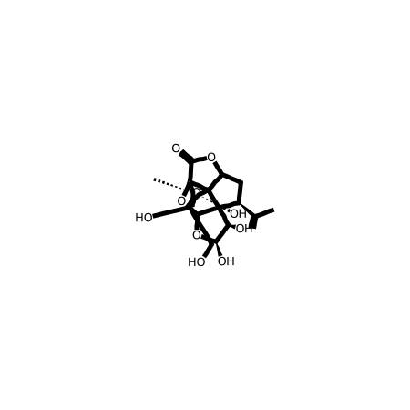 C=C(C)[C@@H]1CC2OC(=O)C34OC5O[C@H](O)[C@H](O)C51C23[C@@H](O)C(CO)OC(O)[C@H]4C